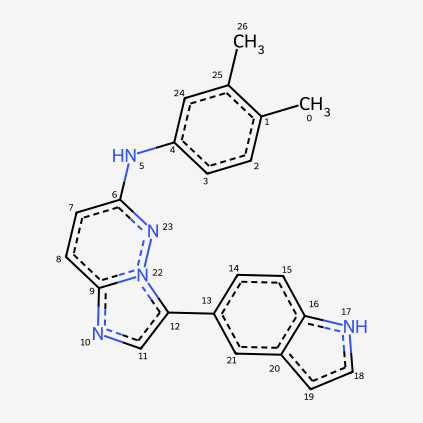 Cc1ccc(Nc2ccc3ncc(-c4ccc5[nH]ccc5c4)n3n2)cc1C